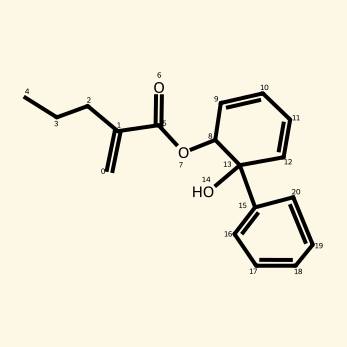 C=C(CCC)C(=O)OC1C=CC=CC1(O)c1ccccc1